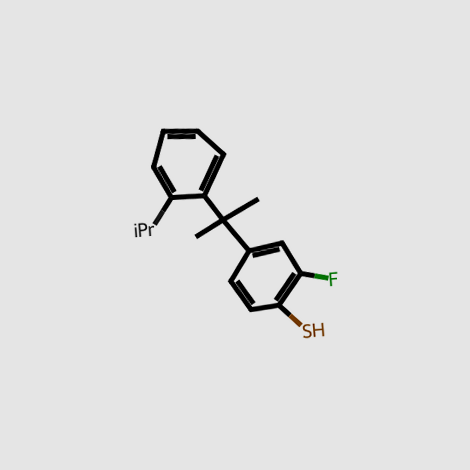 CC(C)c1ccccc1C(C)(C)c1ccc(S)c(F)c1